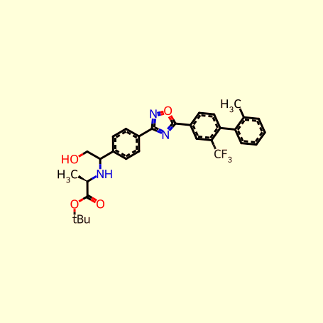 Cc1ccccc1-c1ccc(-c2nc(-c3ccc(C(CO)N[C@H](C)C(=O)OC(C)(C)C)cc3)no2)cc1C(F)(F)F